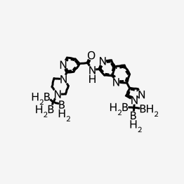 BC(B)(B)N1CCN(c2cc(C(=O)Nc3cc4nc(-c5cnn(C(B)(B)B)c5)ccc4cn3)ccn2)CC1